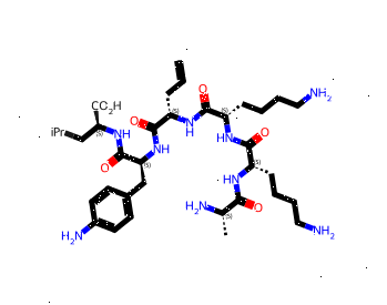 C=CC[C@H](NC(=O)[C@H](CCCCN)NC(=O)[C@H](CCCCN)NC(=O)[C@H](C)N)C(=O)N[C@@H](Cc1ccc(N)cc1)C(=O)N[C@@H](CC(C)C)C(=O)O